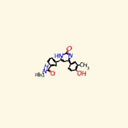 CCCCNC(=O)c1cccc(-c2cc(-c3ccc(O)c(C)c3)nc(=O)[nH]2)c1